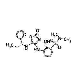 CC[C@@H](Nc1n[s+]([O-])nc1Nc1cccc(S(=O)(=O)N(C)C)c1O)c1ccco1